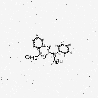 CCCCN(C1=Nc2ccccc2C(C=O)O1)c1ccccc1